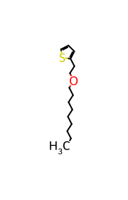 CCCCCCCCCOCCc1cccs1